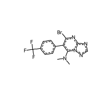 CN(C)c1c(-c2ccc(C(F)(F)F)cc2)c(Br)nc2ncnn12